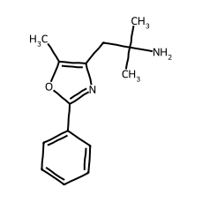 Cc1oc(-c2ccccc2)nc1CC(C)(C)N